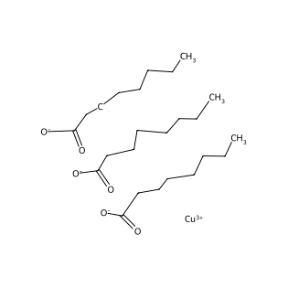 CCCCCCCC(=O)[O-].CCCCCCCC(=O)[O-].CCCCCCCC(=O)[O-].[Cu+3]